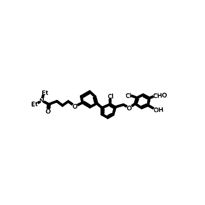 CCN(CC)C(=O)CCCOc1cccc(-c2cccc(COc3cc(O)c(C=O)cc3Cl)c2Cl)c1